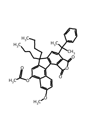 CCCCC1(CCCC)c2cc(C(C)(C)c3ccccc3)c3c(c2-c2c1cc(OC(C)=O)c1cc(OC)ccc21)C(=O)OC3=O